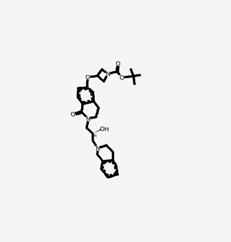 CC(C)(C)OC(=O)N1CC(Oc2ccc3c(c2)CCN(C[C@H](O)CN2CCc4ccccc4C2)C3=O)C1